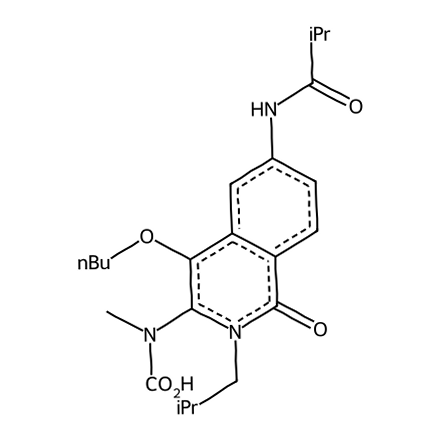 CCCCOc1c(N(C)C(=O)O)n(CC(C)C)c(=O)c2ccc(NC(=O)C(C)C)cc12